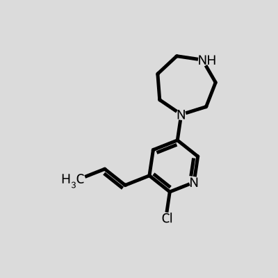 CC=Cc1cc(N2CCCNCC2)cnc1Cl